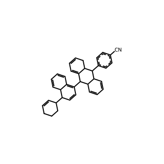 N#Cc1ccc(C2C3CC=CC=C3C(C3=C4C=CC=CC4C(C4C=CCCC4)C=C3)C3C=CC=CC32)cc1